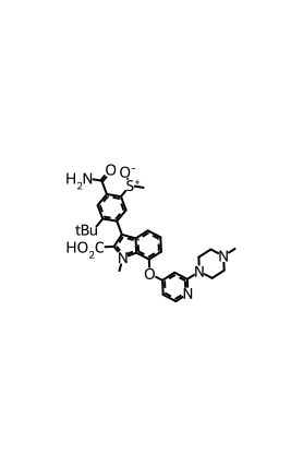 CN1CCN(c2cc(Oc3cccc4c(-c5cc([S+](C)[O-])c(C(N)=O)cc5C(C)(C)C)c(C(=O)O)n(C)c34)ccn2)CC1